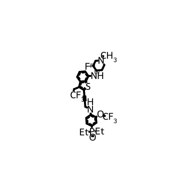 CCP(=O)(CC)c1ccc(NCC#Cc2sc3c(N[C@H]4CCN(C)C[C@H]4F)cccc3c2CC(F)(F)F)c(OC(F)(F)F)c1